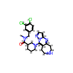 CN(Cc1ccc(Cl)c(Cl)c1)C(=O)C1CCCN(c2c3c(nc4ccnn24)CCNCC3)C1